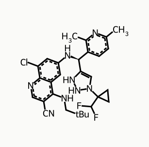 Cc1ccc([C@H](Nc2cc(Cl)c3ncc(C#N)c(NCC(C)(C)C)c3c2)C2=CN(C3(C(F)F)CC3)NN2)c(C)n1